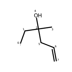 [CH2]CC(C)(O)CC=C